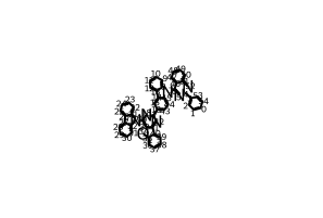 c1ccc(-c2nc(-n3c4ccccc4c4cc(-c5nc(-n6c7ccccc7c7ccccc76)c6oc7ccccc7c6n5)ccc43)c3ccccc3n2)cc1